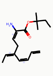 C=C/C=C\C(=C/C)C/C=C(/N)C(=O)OC(C)(C)CC